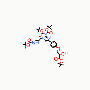 CC(C)(C)OC(=O)NCCCn1cc(-c2ccc(OC[C@@H](O)C(=O)OC(C)(C)C)cc2)nc1N(C(=O)OC(C)(C)C)C(=O)OC(C)(C)C